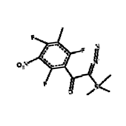 Cc1c(F)c(C(=O)C(=[N+]=[N-])[Si](C)(C)C)c(F)c([N+](=O)[O-])c1F